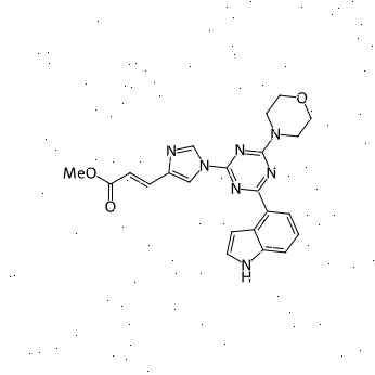 COC(=O)C=Cc1cn(-c2nc(-c3cccc4[nH]ccc34)nc(N3CCOCC3)n2)cn1